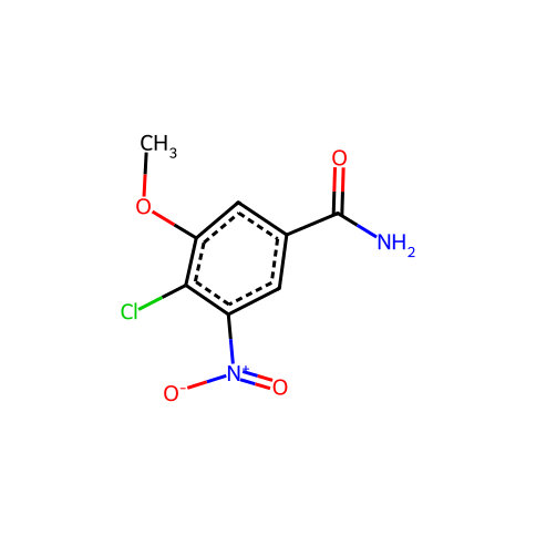 COc1cc(C(N)=O)cc([N+](=O)[O-])c1Cl